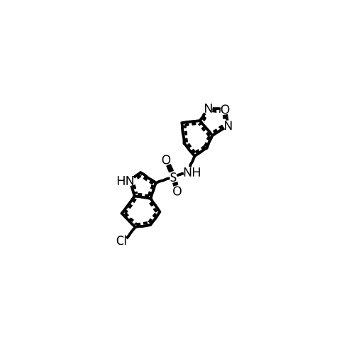 O=S(=O)(Nc1ccc2nonc2c1)c1c[nH]c2cc(Cl)ccc12